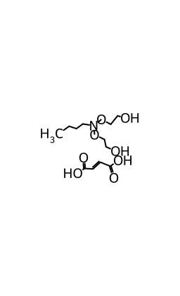 CCCCN(OCCO)OCCO.O=C(O)C=CC(=O)O